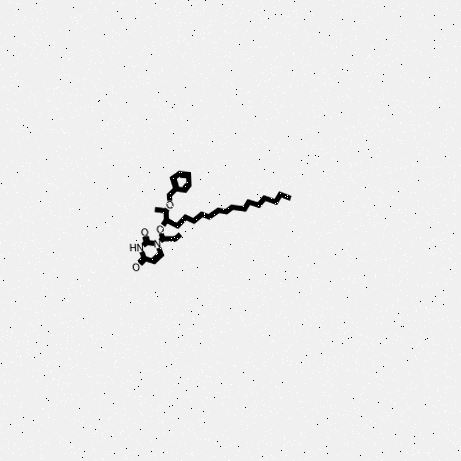 CCCCCCCCCCCCCCCC(OC(CC)n1ccc(=O)[nH]c1=O)C(C)OCc1ccccc1